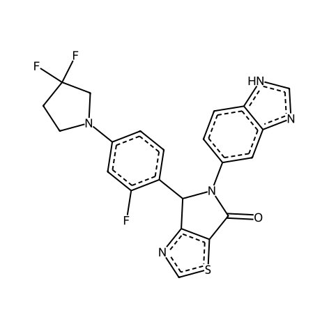 O=C1c2scnc2C(c2ccc(N3CCC(F)(F)C3)cc2F)N1c1ccc2[nH]cnc2c1